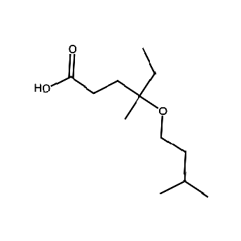 CCC(C)(CCC(=O)O)OCCC(C)C